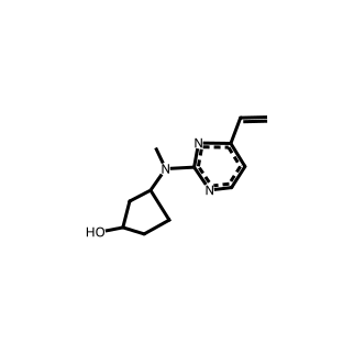 C=Cc1ccnc(N(C)C2CCC(O)C2)n1